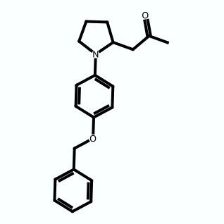 CC(=O)CC1CCCN1c1ccc(OCc2ccccc2)cc1